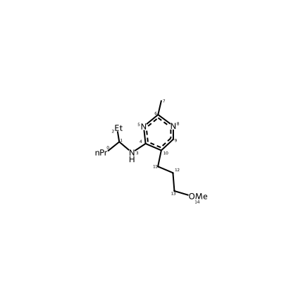 CCCC(CC)Nc1nc(C)ncc1CCCOC